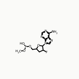 COP(O)OCC1CC(F)C(n2cnc3c(N)ncnc32)O1